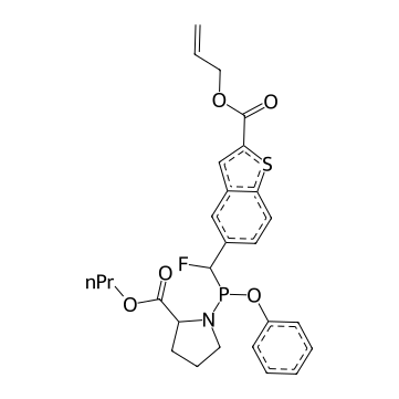 C=CCOC(=O)c1cc2cc(C(F)P(Oc3ccccc3)N3CCCC3C(=O)OCCC)ccc2s1